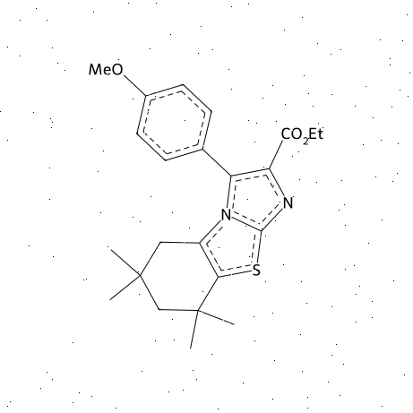 CCOC(=O)c1nc2sc3c(n2c1-c1ccc(OC)cc1)CC(C)(C)CC3(C)C